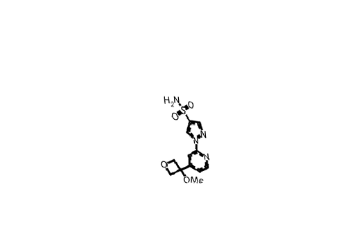 COC1(c2ccnc(-n3cc(S(N)(=O)=O)cn3)c2)COC1